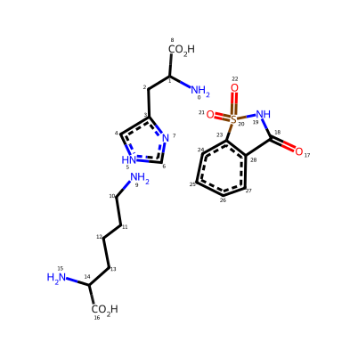 NC(Cc1c[nH]cn1)C(=O)O.NCCCCC(N)C(=O)O.O=C1NS(=O)(=O)c2ccccc21